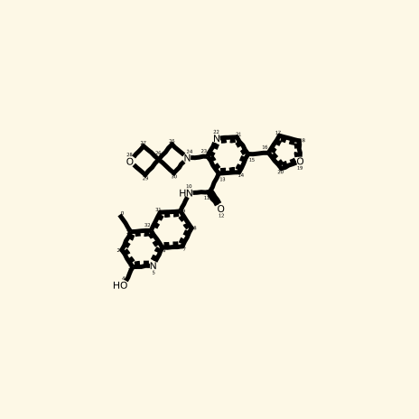 Cc1cc(O)nc2ccc(NC(=O)c3cc(-c4ccoc4)cnc3N3CC4(COC4)C3)cc12